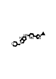 c1nn(C2CC2)cc1-c1ccc(N[C@H]2CC3CN(CC4CCOCC4)C[C@@H]3C2)nn1